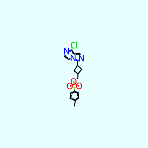 Cc1ccc(S(=O)(=O)OCC2CC(c3ncc4c(Cl)nccn34)C2)cc1